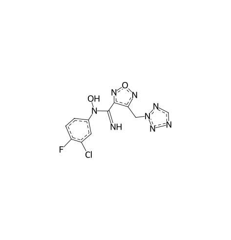 N=C(c1nonc1Cn1ncnn1)N(O)c1ccc(F)c(Cl)c1